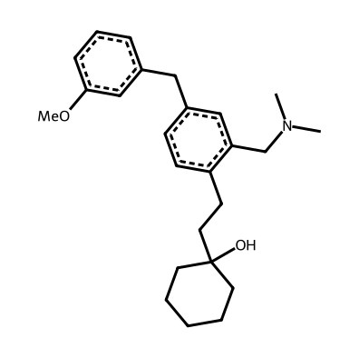 COc1cccc(Cc2ccc(CCC3(O)CCCCC3)c(CN(C)C)c2)c1